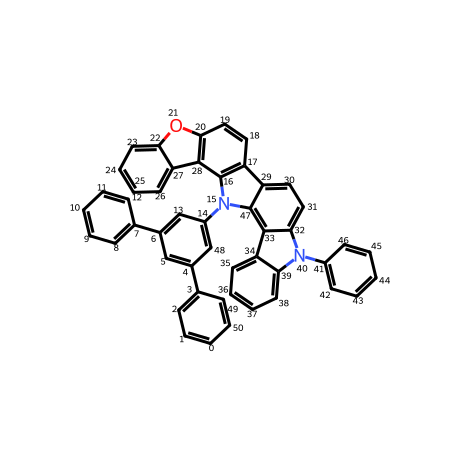 c1ccc(-c2cc(-c3ccccc3)cc(-n3c4c(ccc5oc6ccccc6c54)c4ccc5c(c6ccccc6n5-c5ccccc5)c43)c2)cc1